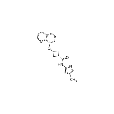 Cc1cnc(NC(=O)[C@H]2C[C@H](Oc3cccc4cccnc34)C2)s1